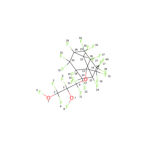 FOC(F)(F)C(F)(OF)C(F)(F)OC1(C(F)(F)F)C2(F)C(F)(F)C3(F)C(F)(F)C(F)(C2(F)F)C(F)(F)C1(F)C3(F)F